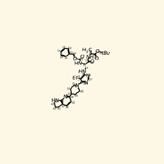 CCc1c(NC[C@H](NC(=O)OCc2ccccc2)C(=O)N[C@@H](C)C(=O)OC(C)(C)C)ncnc1N1CCC(c2ccc3c(n2)NCCC3)CC1